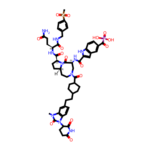 Cn1c(=O)n(C2CCC(=O)NC2=O)c2ccc(CCC3CCC(C(=O)N4CC[C@H]5CC[C@@H](C(=O)N[C@@H](CCC(N)=O)C(=O)NCc6ccc(S(C)(=O)=O)cc6)N5C(=O)[C@@H](NC(=O)c5cc6cc(C(=O)P(=O)(O)O)ccc6[nH]5)C4)CC3)cc21